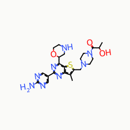 Cc1c(CN2CCN(C(=O)C(C)O)CC2)sc2c(C3CNCCO3)nc(-c3cnc(N)nc3)nc12